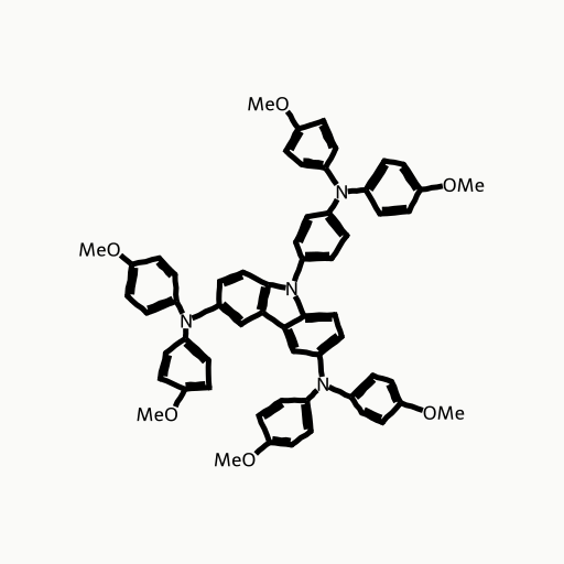 COc1ccc(N(c2ccc(OC)cc2)c2ccc(-n3c4ccc(N(c5ccc(OC)cc5)c5ccc(OC)cc5)cc4c4cc(N(c5ccc(OC)cc5)c5ccc(OC)cc5)ccc43)cc2)cc1